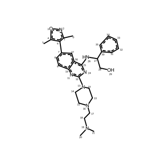 Cc1noc(C)c1-c1ccc2nc(N3CCN(CCN(C)C)CC3)nc(NC(CO)c3ccccc3)c2c1